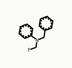 FCN(Cc1ccccc1)c1ccccc1